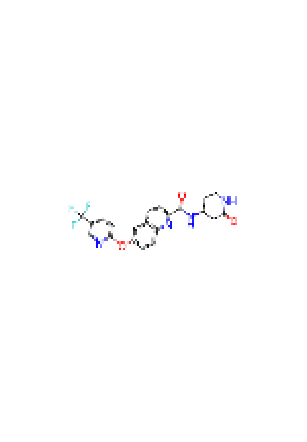 O=C1C[C@@H](NC(=O)c2ccc3cc(Oc4ccc(C(F)(F)F)cn4)ccc3n2)CCN1